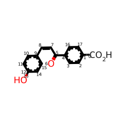 O=C(O)c1ccc(C(=O)/C=C\c2ccc(O)cc2)cc1